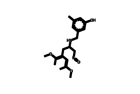 CO/C(C)=C/C(CC(CN=O)NCc1cc(C)cc(O)c1)=C(\C)OC